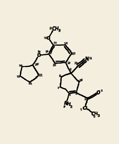 COC(=O)C1=C(N)CCC(C#N)(c2ccc(OC)c(OC3CCCC3)c2)C1